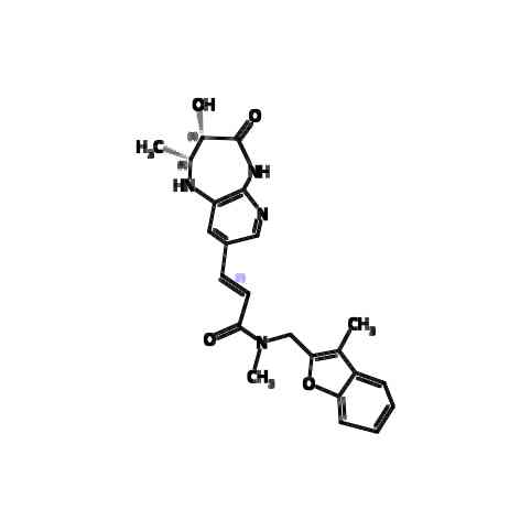 Cc1c(CN(C)C(=O)/C=C/c2cnc3c(c2)N[C@H](C)[C@H](O)C(=O)N3)oc2ccccc12